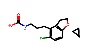 C1CC1.O=C(O)NCCCc1c(F)ccc2c1CCO2